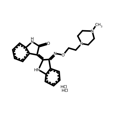 CN1CCN(CCON=C2C(=C3C(=O)Nc4ccccc43)Nc3ccccc32)CC1.Cl.Cl